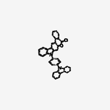 O=c1oc2cc3c(cc2c2ccccc12)c1ccccc1n3-c1ccc(-n2c3ccccc3c3ccccc32)cc1